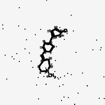 CN1CCC(=Cc2ccc(-c3ccc(Cl)s3)cc2)CC1